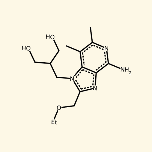 CCOCc1nc2c(N)nc(C)c(C)c2n1CC(CO)CO